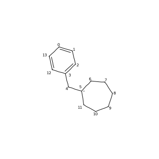 c1ccc(C[C]2CCCCCC2)cc1